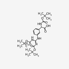 CC(C)(C)OC(=O)/N=C(\NC(=O)OC(C)(C)C)Nc1cccc(C(NC(=O)OC(C)(C)C)C(=O)O)c1